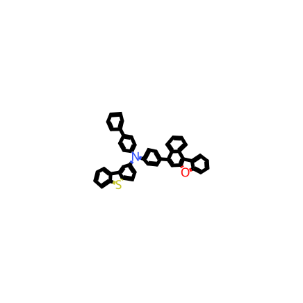 c1ccc(-c2ccc(N(c3ccc(-c4cc5oc6ccccc6c5c5ccccc45)cc3)c3ccc4sc5ccccc5c4c3)cc2)cc1